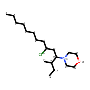 CCCCCCCCC(Cl)CC(C(C)CC)N1CCOCC1